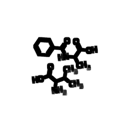 CC(C)C(N)C(=O)O.CC(NC(=O)c1ccccc1)C(=O)O